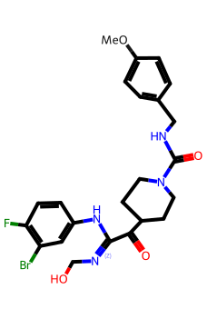 COc1ccc(CNC(=O)N2CCC(C(=O)/C(=N/CO)Nc3ccc(F)c(Br)c3)CC2)cc1